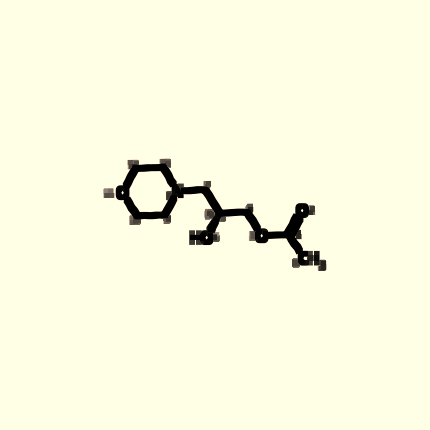 CC(=O)OC[C@@H](O)CN1CCOCC1